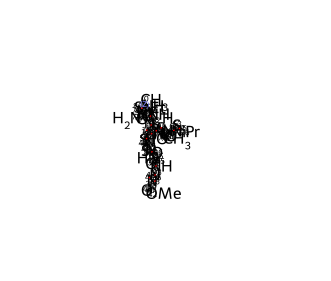 C/C=C(\NC(=O)[C@H](CC)NC(=O)c1csc(-c2ccc(-c3nc(-c4nc(C(=O)NC5(C(=O)NCCN6CCN(CCC(=O)OC)CC6)CC5)cs4)cs3)nc2-c2csc([C@@H](NC(=O)c3csc(CC(C)C)n3)[C@@H](C)O)n2)n1)c1nc(C(N)=O)cs1